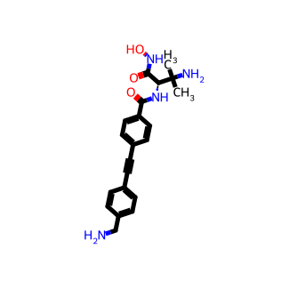 CC(C)(N)[C@H](NC(=O)c1ccc(C#Cc2ccc(CN)cc2)cc1)C(=O)NO